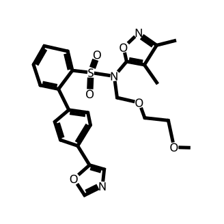 COCCOCN(c1onc(C)c1C)S(=O)(=O)c1ccccc1-c1ccc(-c2cnco2)cc1